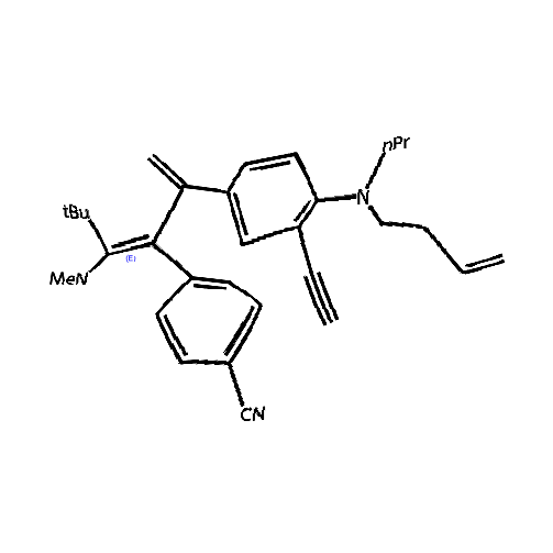 C#Cc1cc(C(=C)/C(=C(/NC)C(C)(C)C)c2ccc(C#N)cc2)ccc1N(CCC)CCC=C